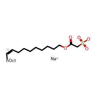 CCCCCCCC/C=C\CCCCCCCCOC(=O)CS(=O)(=O)[O-].[Na+]